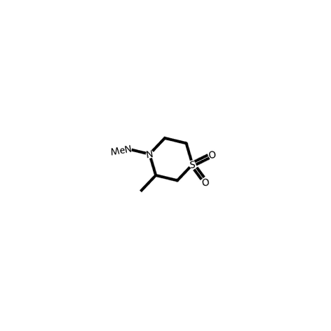 CNN1CCS(=O)(=O)CC1C